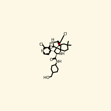 CC1(C)CCC2(CC1)N[C@@H](C(=O)NC1CCC(CO)CC1)[C@H](c1ccnc(Cl)c1F)[C@]21C(=O)Nc2cc(Cl)ccc21